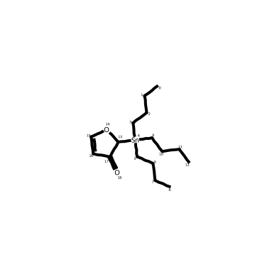 CCC[CH2][Sn]([CH2]CCC)([CH2]CCC)[CH]1OC=CC1=O